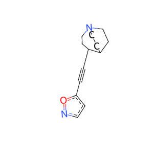 C(#CC1CCN2CCC1CC2)c1ccno1